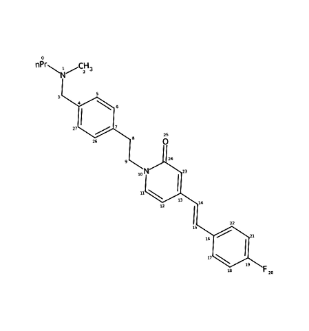 CCCN(C)Cc1ccc(CCn2ccc(C=Cc3ccc(F)cc3)cc2=O)cc1